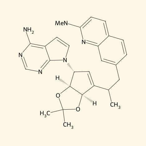 CNc1ccc2ccc(CC(C)C3=C[C@@H](n4ccc5c(N)ncnc54)[C@@H]4OC(C)(C)O[C@H]34)cc2n1